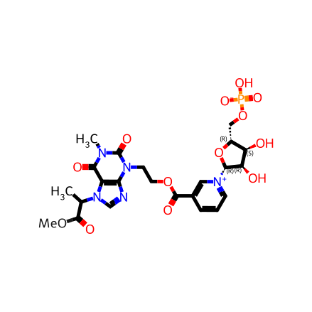 COC(=O)C(C)n1cnc2c1c(=O)n(C)c(=O)n2CCOC(=O)c1ccc[n+]([C@@H]2O[C@H](COP(=O)([O-])O)[C@@H](O)[C@H]2O)c1